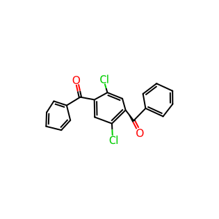 O=C(c1ccccc1)c1cc(Cl)c(C(=O)c2ccccc2)cc1Cl